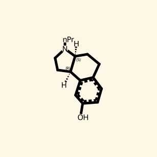 CCCN1CC[C@@H]2c3cc(O)ccc3CC[C@@H]21